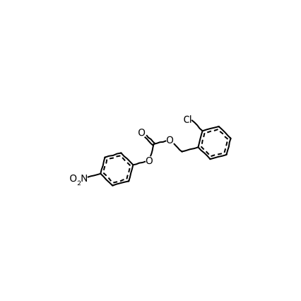 O=C(OCc1ccccc1Cl)Oc1ccc([N+](=O)[O-])cc1